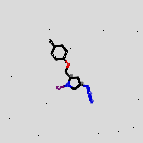 C[C@H]1CC[C@H](OC[C@@H]2C[C@H](N=[N+]=[N-])CN2P)CC1